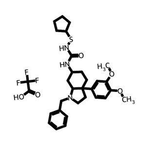 COc1ccc(C23CCC(NC(=O)NSC4CCCC4)CC2N(Cc2ccccc2)CC3)cc1OC.O=C(O)C(F)(F)F